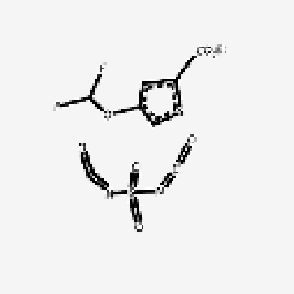 CCOC(=O)c1cc(OC(F)F)cs1.O=C=NS(=O)(=O)N=C=O